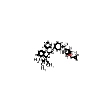 CCN(C(=O)c1cc(F)ccc1N1CCN([C@H]2CCCN(C(=O)[C@H]3N[C@@H]4[C@H](CC5CC5)C[C@H]3[C@@H]4C)CC2)c2ncncc21)C(C)C